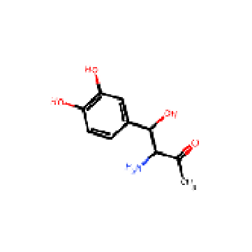 CC(=O)C(N)C(O)c1ccc(O)c(O)c1